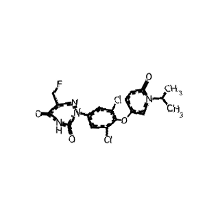 CC(C)n1cc(Oc2c(Cl)cc(-n3nc(CF)c(=O)[nH]c3=O)cc2Cl)ccc1=O